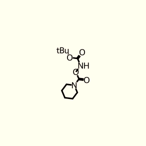 CC(C)(C)OC(=O)NOC(=O)N1CCCCC1